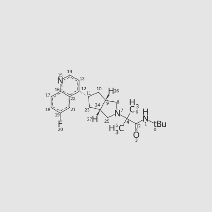 CC(C)(C)NC(=O)C(C)(C)N1C[C@H]2C[C@@H](c3ccnc4ccc(F)cc34)C[C@H]2C1